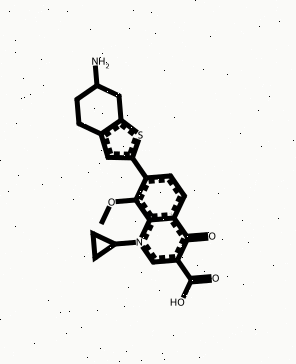 COc1c(-c2cc3c(s2)CC(N)CC3)ccc2c(=O)c(C(=O)O)cn(C3CC3)c12